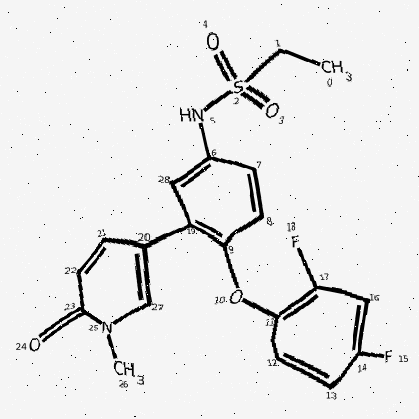 CCS(=O)(=O)Nc1ccc(Oc2ccc(F)cc2F)c(-c2ccc(=O)n(C)c2)c1